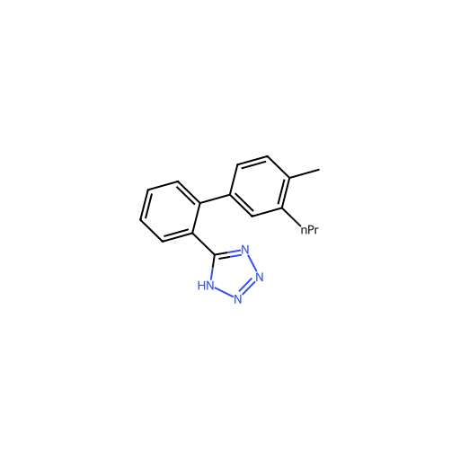 CCCc1cc(-c2ccccc2-c2nnn[nH]2)ccc1C